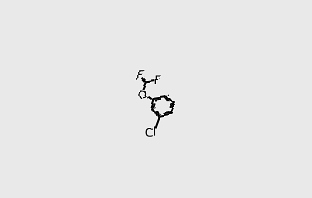 FC(F)Oc1[c]ccc(Cl)c1